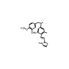 BOc1ccc(CN(C)c2ccc(/N=N/c3scc[n+]3C)c(C)c2)cc1OC